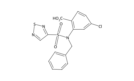 O=C(O)c1ccc(Cl)cc1N(Cc1ccccc1)S(=O)(=O)c1cnsn1